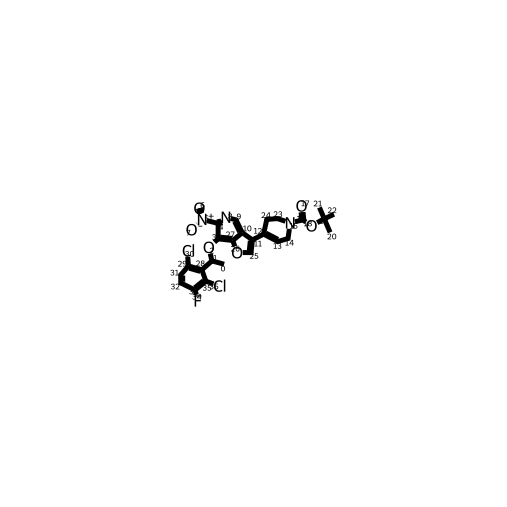 CC(Oc1c([N+](=O)[O-])ncc2c(C3=CCN(C(=O)OC(C)(C)C)CC3)coc12)c1c(Cl)ccc(F)c1Cl